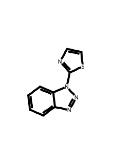 c1ccc2c(c1)nnn2-c1nccs1